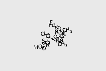 Cc1nc2cnc(N(C)C3CCN(C4CC(F)(F)C4)CC3)c(C#N)c2c(=O)n1CC#Cc1ccc(Cl)cc1-c1ccnc2c(C(=O)O)csc12